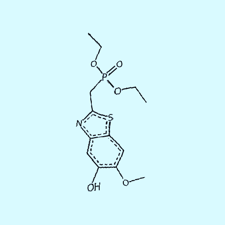 CCOP(=O)(Cc1nc2cc(O)c(OC)cc2s1)OCC